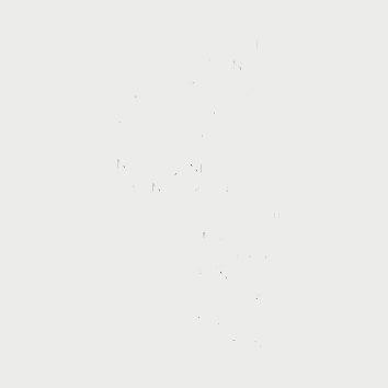 CN1CCC(Oc2cccc3ncnc(Nc4ccc(C(=O)N5CCCC6CCCCC65)c(Cl)c4)c23)CC1